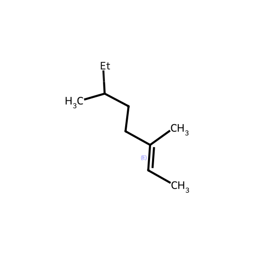 C/C=C(\C)CCC(C)CC